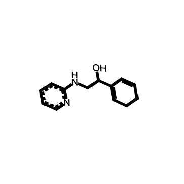 OC(CNc1ccccn1)C1=CCCC=C1